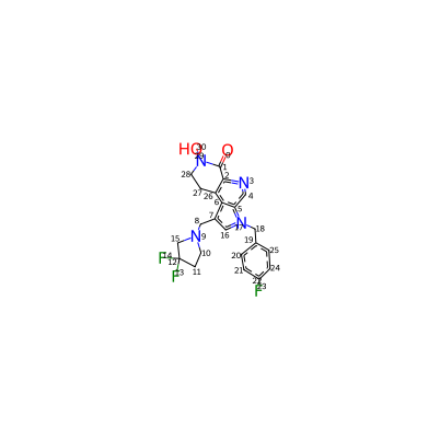 O=C1c2ncc3c(c(CN4CCC(F)(F)C4)cn3Cc3ccc(F)cc3)c2CCN1O